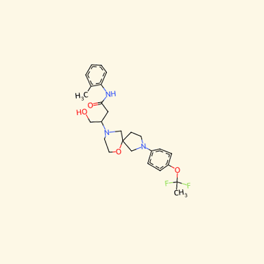 Cc1ccccc1NC(=O)CC(CO)N1CCOC2(CCN(c3ccc(OC(C)(F)F)cc3)C2)C1